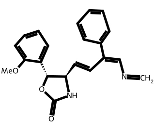 C=N/C=C(\C=C\[C@H]1NC(=O)O[C@@H]1c1ccccc1OC)c1ccccc1